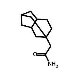 NC(=O)CC12CCC3CC(CC3C1)C2